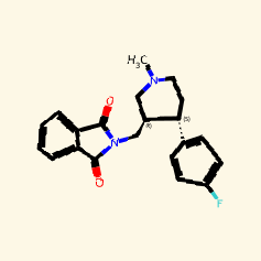 CN1CC[C@H](c2ccc(F)cc2)[C@@H](CN2C(=O)c3ccccc3C2=O)C1